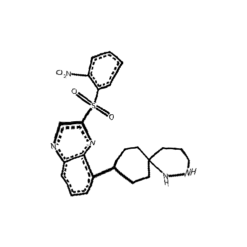 O=[N+]([O-])c1ccccc1S(=O)(=O)c1cnc2cccc(C3CCC4(CCNN4)CC3)c2n1